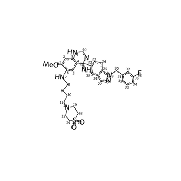 COc1cc2c(cc1NCCCCN1CCS(=O)(=O)CC1)C(N)(c1ccc3c(cnn3Cc3cccc(F)c3)c1)N=CN2